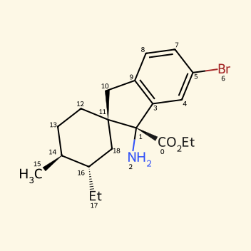 CCOC(=O)[C@]1(N)c2cc(Br)ccc2C[C@@]12CC[C@H](C)[C@@H](CC)C2